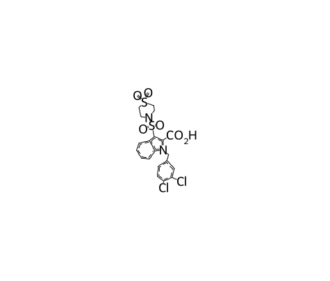 O=C(O)c1c(S(=O)(=O)N2CCS(=O)(=O)CC2)c2ccccc2n1Cc1ccc(Cl)c(Cl)c1